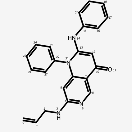 C=CCNc1cc2c(cn1)c(=O)cc(Nc1ccccc1)n2-c1ccccc1